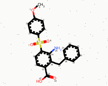 COc1ccc(S(=O)(=O)c2ccc(C(=O)O)c(Cc3ccccc3)c2N)cc1